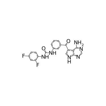 Nc1ncnc2[nH]cc(C(=O)c3cccc(NC(=O)Nc4ccc(F)cc4F)c3)c12